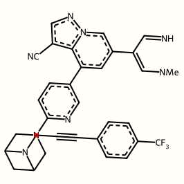 CN/C=C(\C=N)c1cc(-c2ccc(N3CC4CC(C3)N4CC#Cc3ccc(C(F)(F)F)cc3)nc2)c2c(C#N)cnn2c1